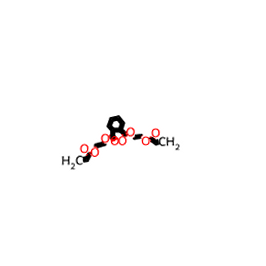 C=CC(=O)OCCOC(=O)C1CCCCC1C(=O)OCCOC(=O)C=C